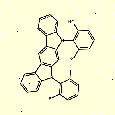 N#Cc1cccc(C#N)c1-n1c2ccccc2c2cc3c4ccccc4n(-c4c(F)cccc4F)c3cc21